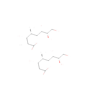 CC(=O)N[C@H]1[C@H]([C@H](O)[C@H](O)CO)O[C@](O)(C(=O)[O-])C[C@@H]1O.CC(=O)N[C@H]1[C@H]([C@H](O)[C@H](O)CO)O[C@](O)(C(=O)[O-])C[C@@H]1O.[Pb+2]